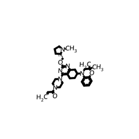 C=CC(=O)N1CCN(c2nc(OC[C@@H]3CCCN3C)nc3c2CCC(N2CC(C)(C)Oc4ccccc42)C3)CC1